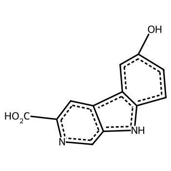 O=C(O)c1cc2c(cn1)[nH]c1ccc(O)cc12